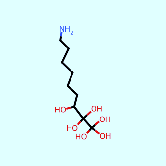 NCCCCCCC(O)C(O)(O)C(O)(O)O